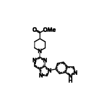 COC(=O)C1CCN(c2ncc3ncn(-c4ccc5cn[nH]c5c4)c3n2)CC1